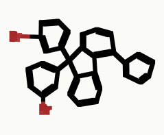 Brc1cccc(C2(c3cccc(Br)c3)c3ccccc3-c3c(-c4ccccc4)cccc32)c1